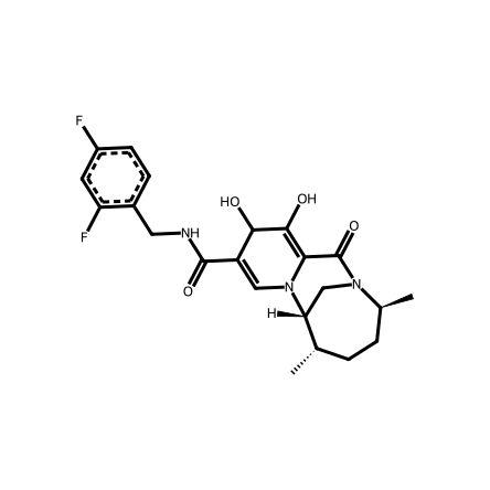 C[C@H]1CC[C@H](C)N2C[C@H]1N1C=C(C(=O)NCc3ccc(F)cc3F)C(O)C(O)=C1C2=O